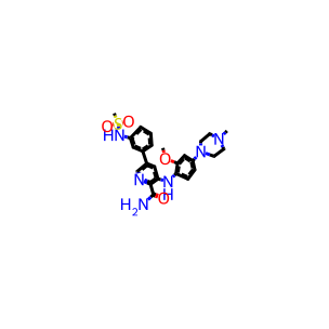 COc1cc(N2CCN(C)CC2)ccc1Nc1cc(-c2cccc(NS(C)(=O)=O)c2)cnc1C(N)=O